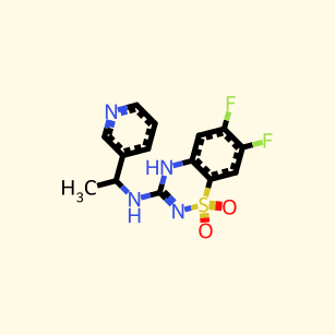 CC(NC1=NS(=O)(=O)c2cc(F)c(F)cc2N1)c1cccnc1